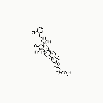 CC(C)C1=C2[C@H]3CCC4[C@@]5(C)CC[C@H](OC(=O)CC(C)(C)C(=O)O)C(C)(C)C5CC[C@@]4(C)[C@]3(C)CC[C@@]2([C@H](O)CNCc2ccccc2Cl)CC1=O